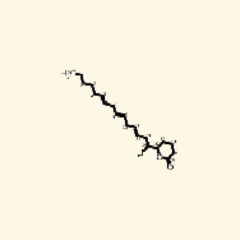 CCCCCC=CCC=CCC=CCC(I)C1CCCC(=O)O1